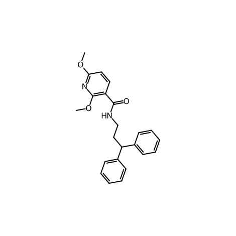 COc1ccc(C(=O)NCCC(c2ccccc2)c2ccccc2)c(OC)n1